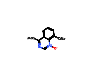 COc1nc[n+]([O-])c2c(OC)cccc12